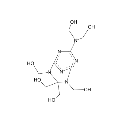 OCN(CO)c1nc2nc(n1)N(CO)C(CO)(CO)N2CO